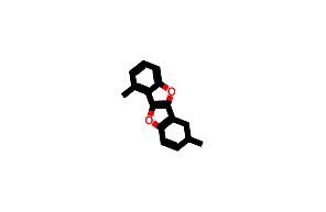 Cc1cccc2oc3c4c(oc3c12)C=CC(C)C4